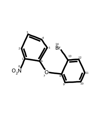 O=[N+]([O-])c1ccccc1Oc1ccccc1Br